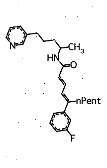 CCCCC/C(=C\C=C\C(=O)NC(C)CCCc1cccnc1)c1cccc(F)c1